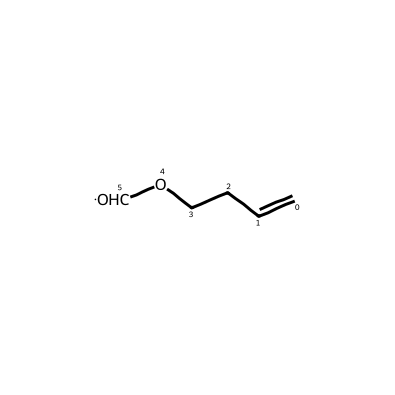 C=CCCO[C]=O